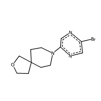 Brc1cnc(N2CCC3(CCOC3)CC2)cn1